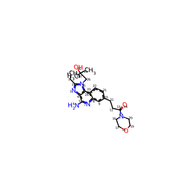 CCc1nc2c(N)nc3cc(CCC(=O)N4CCOCC4)ccc3c2n1CC(C)(C)O